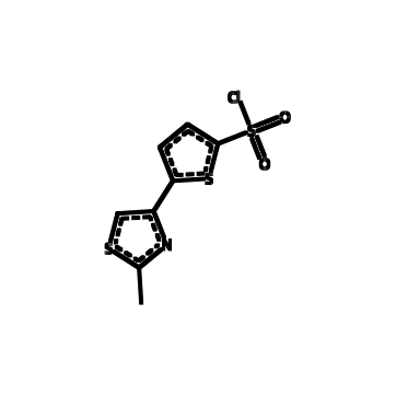 Cc1nc(-c2ccc(S(=O)(=O)Cl)s2)cs1